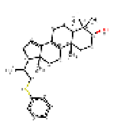 C[C@H](CSc1ccccc1)[C@H]1CC=C2C3=C(CC[C@@]21C)[C@@]1(C)CC[C@H](O)C(C)(C)[C@@H]1CC3